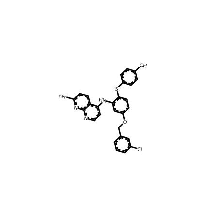 CCCc1ccc2c(Nc3cc(OCc4cccc(Cl)c4)ccc3Sc3ccc(O)cc3)ccnc2n1